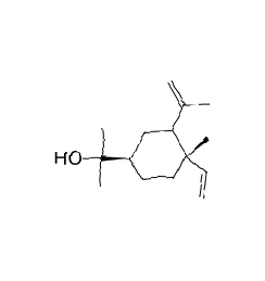 C=C[C@]1(C)CC[C@@H](C(C)(C)O)CC1C(=C)C